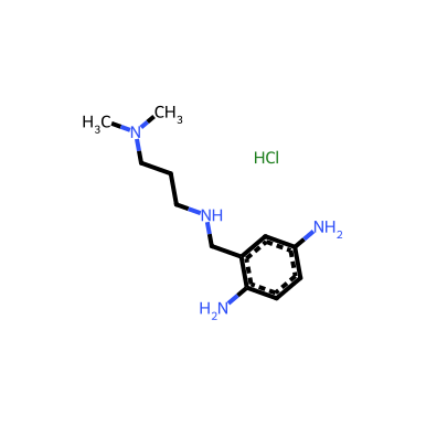 CN(C)CCCNCc1cc(N)ccc1N.Cl